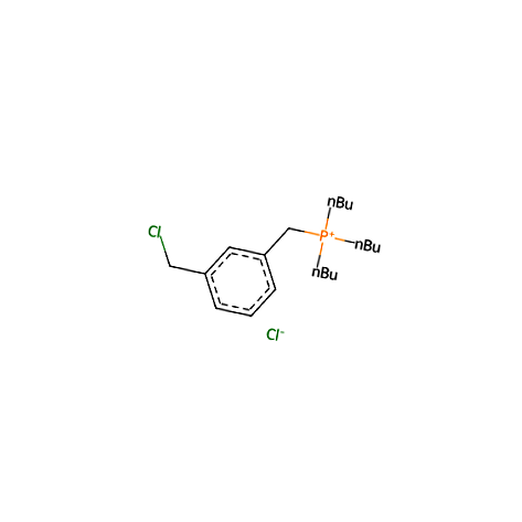 CCCC[P+](CCCC)(CCCC)Cc1cccc(CCl)c1.[Cl-]